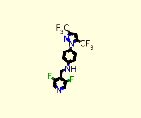 Fc1cncc(F)c1CNc1ccc(-n2nc(C(F)(F)F)cc2C(F)(F)F)cc1